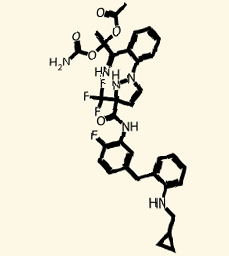 CC(=O)OC(C)(OC(N)=O)C(=N)c1ccccc1N1C=CC(C(=O)Nc2cc(Cc3ccccc3NCC3CC3)ccc2F)(C(F)(F)F)N1